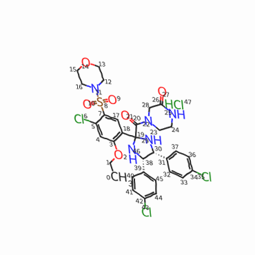 CCOc1cc(Cl)c(S(=O)(=O)N2CCOCC2)cc1C1(C(=O)N2CCNC(=O)C2)N[C@H](c2ccc(Cl)cc2)[C@H](c2ccc(Cl)cc2)N1.Cl